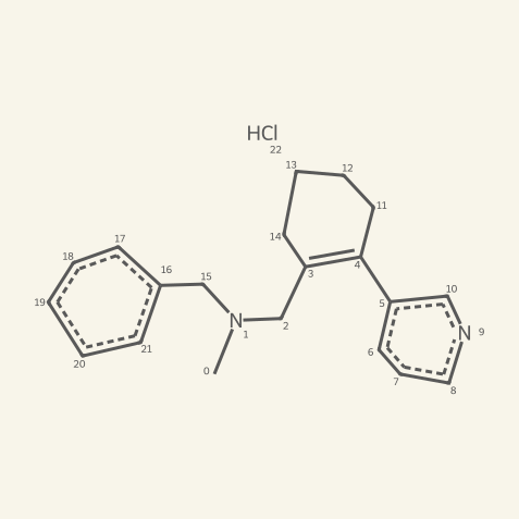 CN(CC1=C(c2cccnc2)CCCC1)Cc1ccccc1.Cl